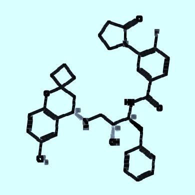 O=C(N[C@@H](Cc1ccccc1)[C@H](O)CN[C@H]1CC2(CCC2)Oc2ccc(C(F)(F)F)cc21)c1ccc(F)c(N2CCCC2=O)c1